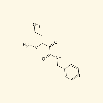 CCCC(NC)C(=O)C(=O)NCc1ccncc1